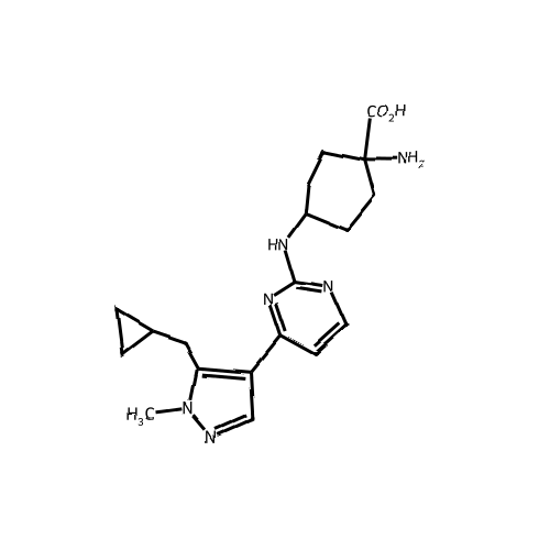 Cn1ncc(-c2ccnc(NC3CCC(N)(C(=O)O)CC3)n2)c1CC1CC1